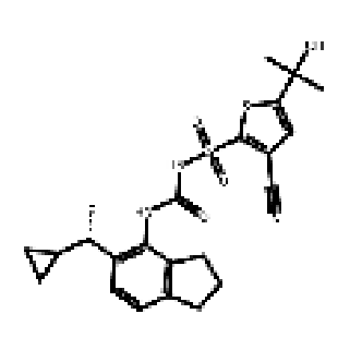 C[C@H](c1ccc2c(c1NC(=O)NS(=O)(=O)c1sc(C(C)(C)O)cc1C#N)CCC2)C1CC1